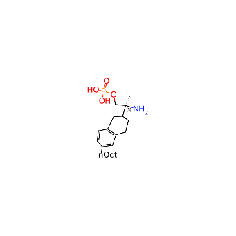 CCCCCCCCc1ccc2c(c1)CCC([C@](C)(N)COP(=O)(O)O)C2